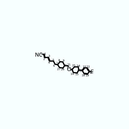 N#CC=CC=CCCC1CCC(COC2CCC(c3ccc(F)cc3)CC2)CC1